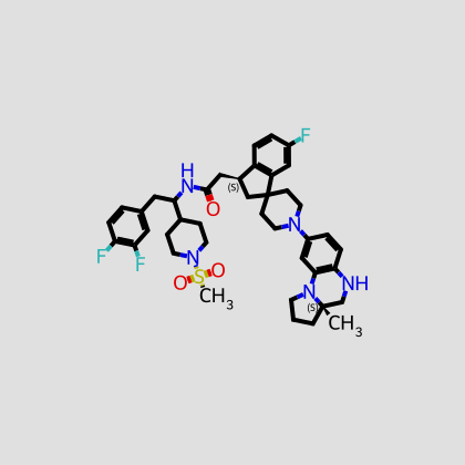 C[C@@]12CCCN1c1cc(N3CCC4(CC3)C[C@@H](CC(=O)NC(Cc3ccc(F)c(F)c3)C3CCN(S(C)(=O)=O)CC3)c3ccc(F)cc34)ccc1NC2